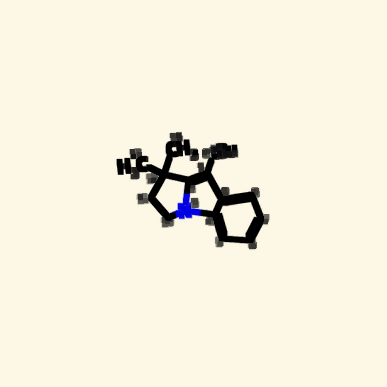 CC(C)(C)c1c2n(c3ccccc13)CCC2(C)C